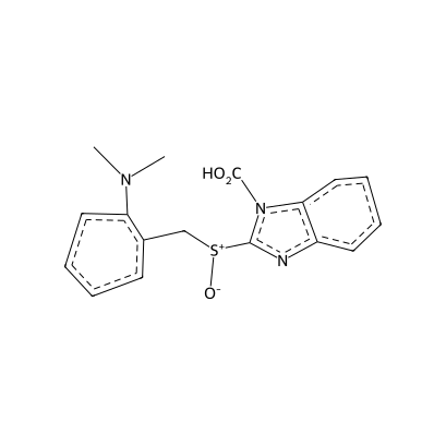 CN(C)c1ccccc1C[S+]([O-])c1nc2ccccc2n1C(=O)O